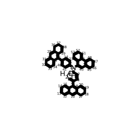 C=C(/C=C\C(=C/C)c1c2c(cc3ccccc13)CCC=C2)N(c1ccc(-c2c3c(cc4ccccc24)CCC=C3)cc1)c1cc2ccccc2c2ccccc12